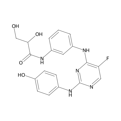 O=C(Nc1cccc(Nc2nc(Nc3ccc(O)cc3)ncc2F)c1)C(O)CO